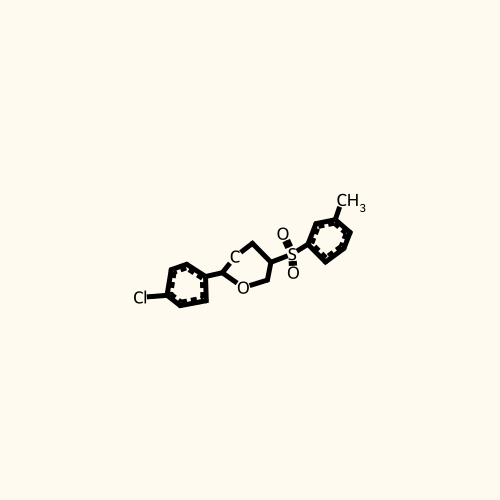 Cc1cccc(S(=O)(=O)C2CCC(c3ccc(Cl)cc3)OC2)c1